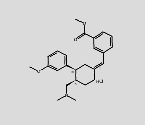 COC(=O)c1cccc(/C=C2/CC[C@@H](CN(C)C)[C@@H](c3cccc(OC)c3)C2)c1.Cl